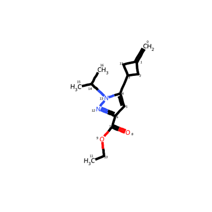 C=C1CC(c2cc(C(=O)OCC)nn2C(C)C)C1